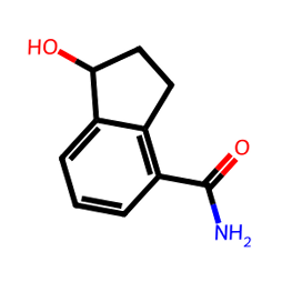 NC(=O)c1cccc2c1CCC2O